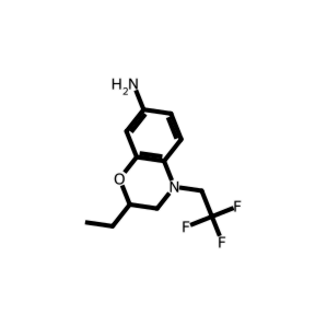 CCC1CN(CC(F)(F)F)c2ccc(N)cc2O1